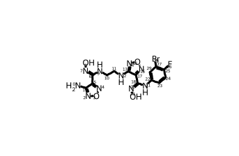 Nc1nonc1/C(=N/O)NCCNc1nonc1/C(=N/O)Nc1ccc(F)c(Br)c1